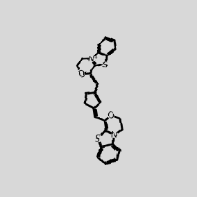 C1=C(C=C2OCC[n+]3c2sc2ccccc23)CC/C1=C/C1=C2Sc3ccccc3N2CCO1